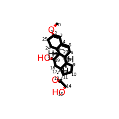 COC1=CC2=CC[C@H]3[C@@H]4CC[C@H](C(=O)CO)[C@@]4(C)CC(O)[C@@H]3[C@@]2(C)CC1